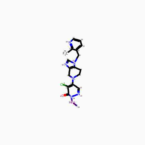 O=c1c(Cl)c(N2CCc3c(ncn3Cc3cccnc3C(F)(F)F)C2)cnn1PI